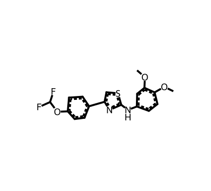 COc1ccc(Nc2nc(-c3ccc(OC(F)F)cc3)cs2)cc1OC